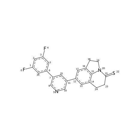 Fc1cc(F)cc(-c2cncc(-c3cc4c5c(c3)CCN5C(=S)CC4)c2)c1